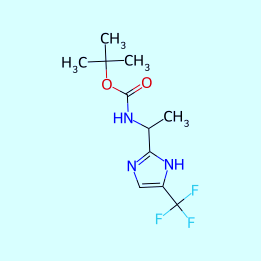 CC(NC(=O)OC(C)(C)C)c1ncc(C(F)(F)F)[nH]1